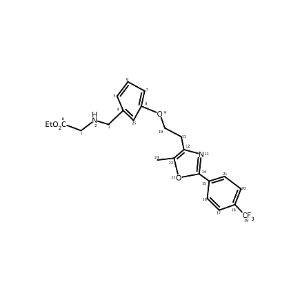 CCOC(=O)CNCc1cccc(OCCc2nc(-c3ccc(C(F)(F)F)cc3)oc2C)c1